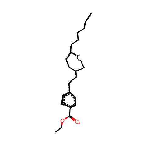 CCCCCCC1CCC(CCc2ccc(C(=O)OCC)cc2)CC1